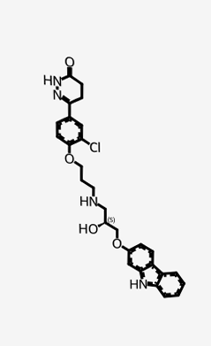 O=C1CCC(c2ccc(OCCCNC[C@H](O)COc3ccc4c(c3)[nH]c3ccccc34)c(Cl)c2)=NN1